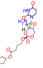 C[C@@]1(N)[C@@H]2O[P@](=O)(OCCCC(=O)OC3CCCC3)OCC2O[C@H]1n1ccc(=O)[nH]c1=O